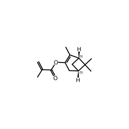 C=C(C)C(=O)OC1=C(C)[C@H]2C[C@@H](C1)C2(C)C